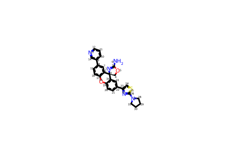 NC1=N[C@@]2(CO1)c1cc(-c3cccnc3)ccc1Oc1ccc(-c3csc(N4CCCC4)n3)cc12